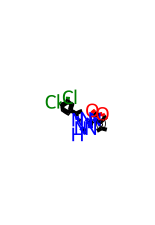 CC(Nc1ncnc(N2C(=O)OC[C@@H]2C(C)C)n1)c1ccc(Cl)c(Cl)c1